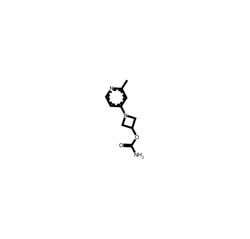 Cc1cc(N2CC(OC(N)=O)C2)ccn1